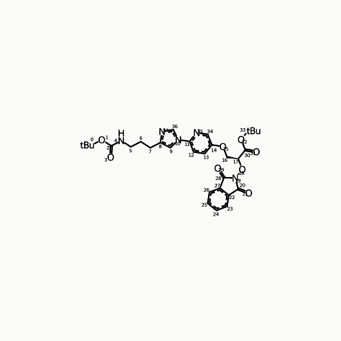 CC(C)(C)OC(=O)NCCCc1cn(-c2ccc(OC[C@H](ON3C(=O)c4ccccc4C3=O)C(=O)OC(C)(C)C)cn2)cn1